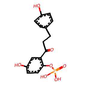 O=C(CCc1ccc(O)cc1)c1cc(O)ccc1OP(=O)(O)O